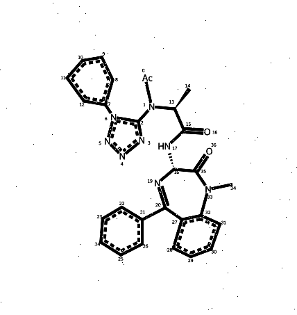 CC(=O)N(c1nnnn1-c1ccccc1)[C@@H](C)C(=O)N[C@H]1N=C(c2ccccc2)c2ccccc2N(C)C1=O